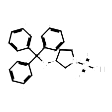 CS(=O)(=O)N1[CH]C[C@H](SC(c2ccccc2)(c2ccccc2)c2ccccc2)C1